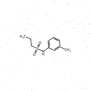 CCCS(=O)(=O)Nc1cccc(C)c1